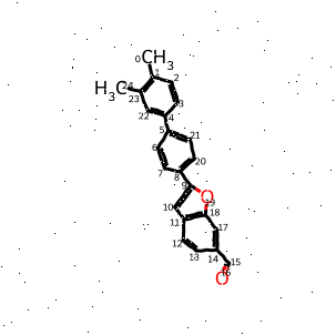 Cc1ccc(-c2ccc(-c3cc4ccc(C=O)cc4o3)cc2)cc1C